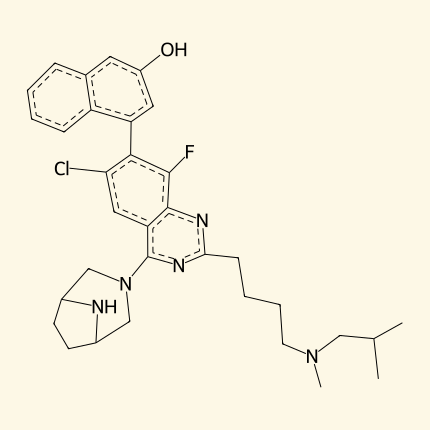 CC(C)CN(C)CCCCc1nc(N2CC3CCC(C2)N3)c2cc(Cl)c(-c3cc(O)cc4ccccc34)c(F)c2n1